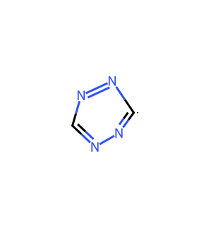 [c]1nncnn1